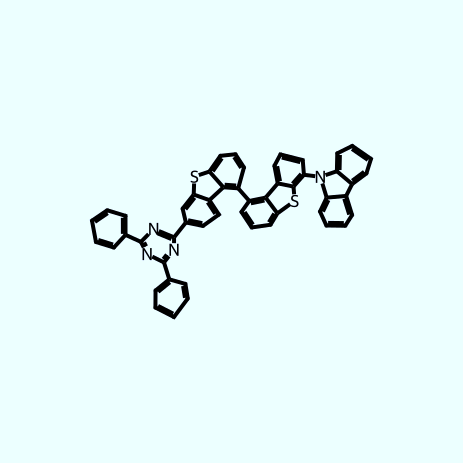 c1ccc(-c2nc(-c3ccccc3)nc(-c3ccc4c(c3)sc3cccc(-c5cccc6sc7c(-n8c9ccccc9c9ccccc98)cccc7c56)c34)n2)cc1